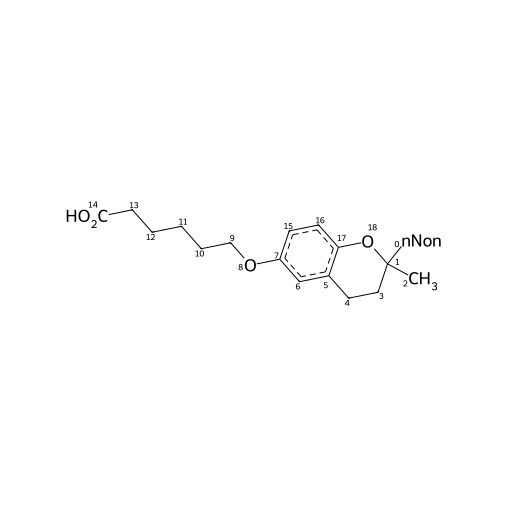 CCCCCCCCCC1(C)CCc2cc(OCCCCCC(=O)O)ccc2O1